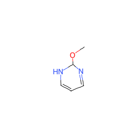 COC1N=CC=CN1